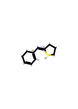 C1=CCCC(/C=C2/CCCS2)=C1